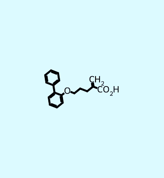 C=C(CCCOc1ccccc1-c1ccccc1)C(=O)O